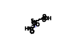 O=C1/C(=C/c2c[nH]c3ccccc23)SC(=S)N1CCCCCS(=O)(=O)O